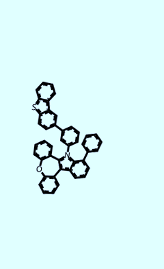 c1ccc(-c2cccc3c4c(n(-c5cccc(-c6ccc7sc8ccccc8c7c6)c5)c23)-c2ccccc2Oc2ccccc2-4)cc1